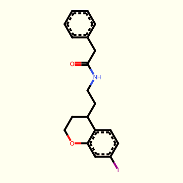 O=C(Cc1ccccc1)NCCC1CCOc2cc(I)ccc21